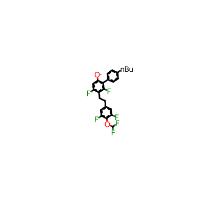 CCCCc1ccc(-c2c([O])cc(F)c(CCc3cc(F)c(OC(F)F)c(F)c3)c2F)cc1